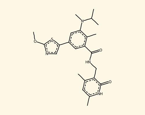 COc1ncc(-c2cc(C(=O)NCc3c(C)cc(C)[nH]c3=O)c(C)c(N(C)C(C)C)c2)s1